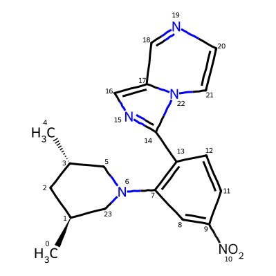 C[C@H]1C[C@H](C)CN(c2cc([N+](=O)[O-])ccc2-c2ncc3cnccn23)C1